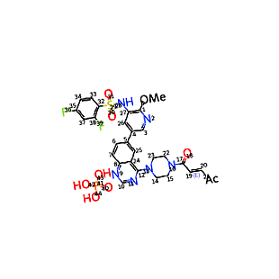 COc1ncc(-c2ccc3ncnc(N4CCN(C(=O)/C=C/C(C)=O)CC4)c3c2)cc1NS(=O)(=O)c1ccc(F)cc1F.O=P(O)(O)O